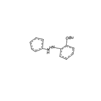 CC(C)COc1ccccc1NNc1ccccc1